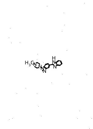 CN1CCN(n2cnc3cc(-c4nc5ccccc5[nH]4)ccc32)CC1